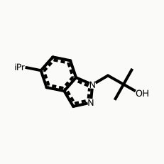 CC(C)c1ccc2c(cnn2CC(C)(C)O)c1